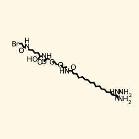 N/N=C(/CCCCCCCCCCCCCCCC(=O)NCCOCCOCC(=O)NC(CCCCNC(=O)CBr)C(=O)O)NN